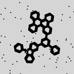 c1ccc(-c2cc(-c3ccc4c5ccccc5c5c6ccccc6c6ccccc6c5c4c3)cc(-c3ccc4c(c3)c3ccccc3n4-c3ccccc3)c2)cc1